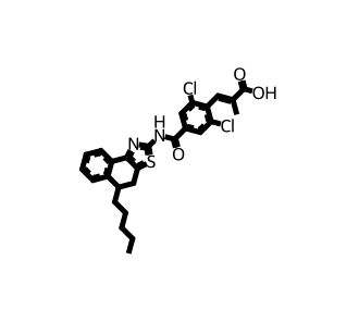 CCCCCC1Cc2sc(NC(=O)c3cc(Cl)c(C=C(C)C(=O)O)c(Cl)c3)nc2-c2ccccc21